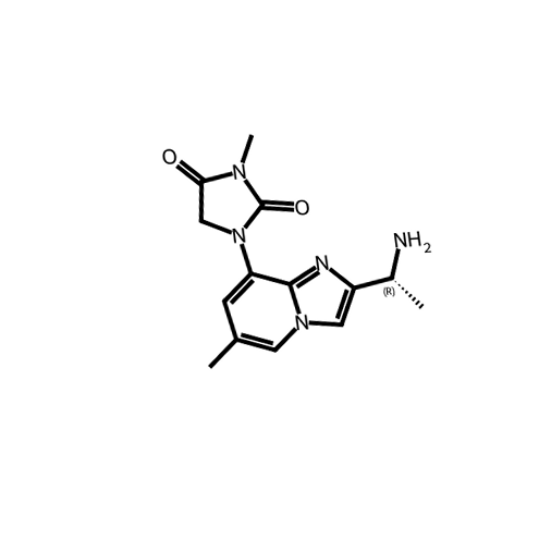 Cc1cc(N2CC(=O)N(C)C2=O)c2nc([C@@H](C)N)cn2c1